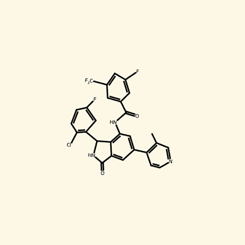 Cc1cnccc1-c1cc(NC(=O)c2cc(F)cc(C(F)(F)F)c2)c2c(c1)C(=O)NC2c1cc(F)ccc1Cl